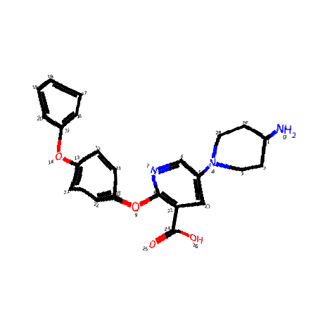 NC1CCN(c2cnc(Oc3ccc(Oc4ccccc4)cc3)c(C(=O)O)c2)CC1